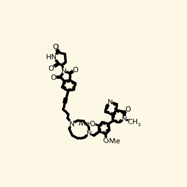 COc1cc(-c2cn(C)c(=O)c3cnccc23)cc(OC)c1CN1CCCCN(CCCC#Cc2ccc3c(c2)C(=O)N(C2CCC(=O)NC2=O)C3=O)CCC1